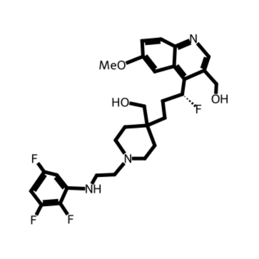 COc1ccc2ncc(CO)c([C@H](F)CCC3(CO)CCN(CCNc4cc(F)cc(F)c4F)CC3)c2c1